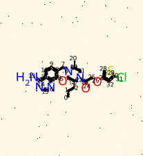 CCC[C@H]1C(=O)N(Cc2ccc3c(N)ncnc3c2)[C@@H](C)CN1C(=O)COc1csc(Cl)c1